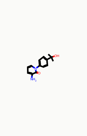 CC(C)(O)c1ccc(-n2cccc(N)c2=O)cc1